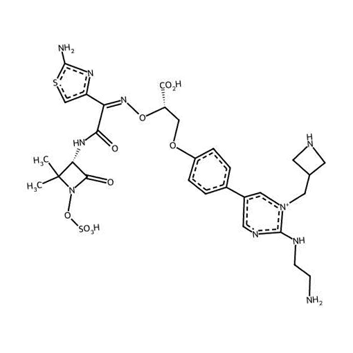 CC1(C)[C@H](NC(=O)/C(=N\O[C@@H](COc2ccc(-c3cnc(NCCN)[n+](CC4CNC4)c3)cc2)C(=O)O)c2csc(N)n2)C(=O)N1OS(=O)(=O)O